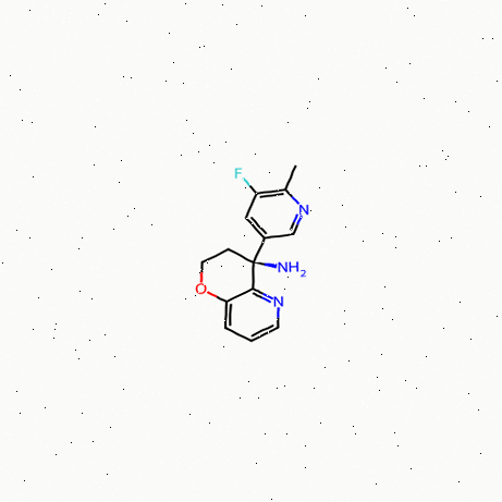 Cc1ncc([C@@]2(N)CCOc3cccnc32)cc1F